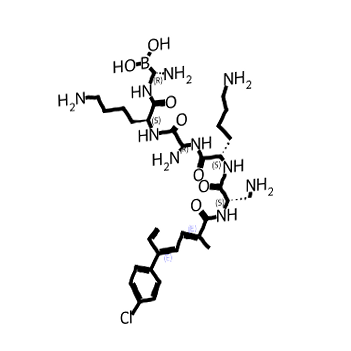 C=C/C(=C\C=C(/C)C(=O)N[C@@H](CN)C(=O)N[C@@H](CCCCN)C(=O)N[C@@H](N)C(=O)N[C@@H](CCCCN)C(=O)N[C@@H](N)B(O)O)c1ccc(Cl)cc1